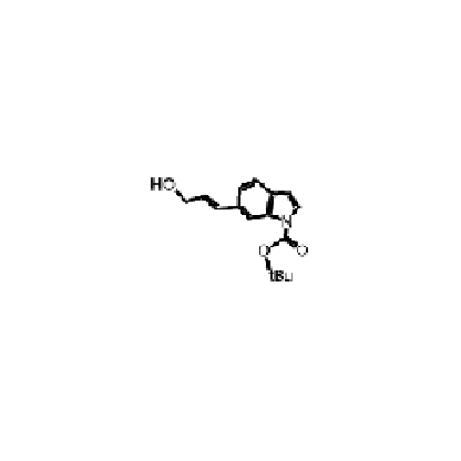 CC(C)(C)OC(=O)n1ccc2ccc(C=CCO)cc21